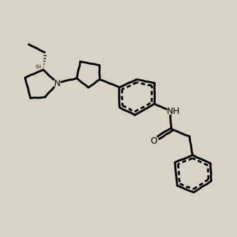 CC[C@H]1CCCN1C1CCC(c2ccc(NC(=O)Cc3ccccc3)cc2)C1